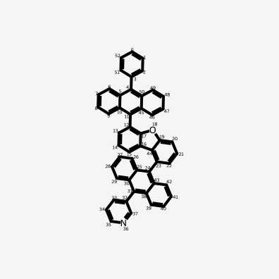 c1ccc(-c2c3ccccc3c(-c3cccc4c3oc3cccc(-c5c6ccccc6c(-c6cccnc6)c6ccccc56)c34)c3ccccc23)cc1